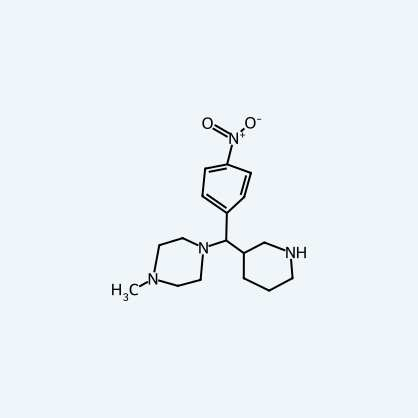 CN1CCN(C(c2ccc([N+](=O)[O-])cc2)C2CCCNC2)CC1